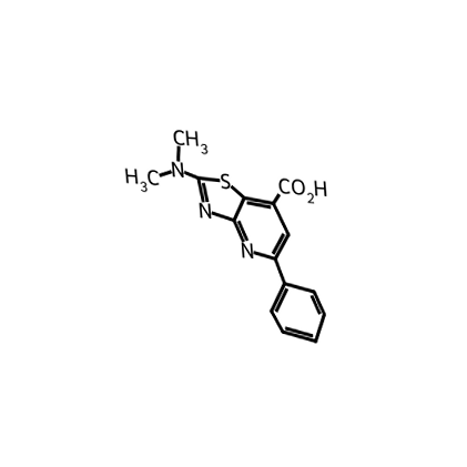 CN(C)c1nc2nc(-c3ccccc3)cc(C(=O)O)c2s1